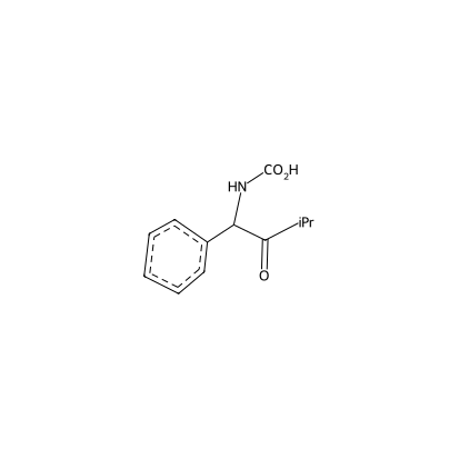 CC(C)C(=O)C(NC(=O)O)c1ccccc1